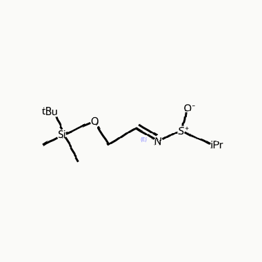 CC(C)[S+]([O-])/N=C/CO[Si](C)(C)C(C)(C)C